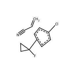 C=CC#N.FC1(c2ccc(Cl)cc2)CC1